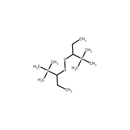 CCC(SSC(CC)[Si](C)(C)C)[Si](C)(C)C